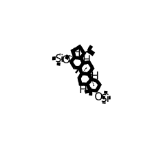 C=C(C)[C@@H]1CC[C@]2(CO[Si](C)(C)C)CC[C@]3(C)[C@H](CC[C@@H]4[C@@]5(C)CC[C@H](O[Si](C)(C)C)C(C)(C)[C@@H]5CC[C@]43C)[C@@H]12